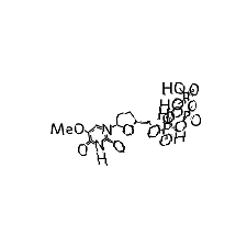 COc1cn([C@H]2CC[C@@H](COP(=O)(O)OP(=O)(O)OP(=O)(O)O)O2)c(=O)[nH]c1=O